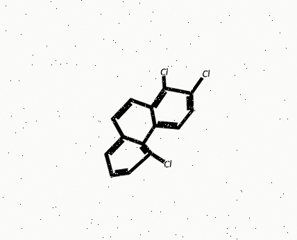 Clc1[c]cc2c(ccc3c[c]cc(Cl)c32)c1Cl